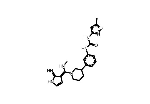 CN/C(=C1/C=CNC1=N)N1CCCC(c2cccc(NC(=O)Nc3cc(C)on3)c2)C1